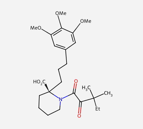 CCC(C)(C)C(=O)C(=O)N1CCCC[C@@]1(CCCc1cc(OC)c(OC)c(OC)c1)C(=O)O